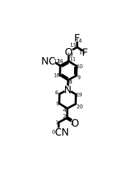 N#CCC(=O)C1CCN(c2ccc(OC(F)F)c(C#N)c2)CC1